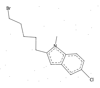 Cn1c(CCCCCBr)cc2cc(Cl)ccc21